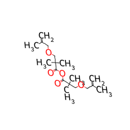 C=C(C)COCC(C)(C)C(=O)OC(=O)C(C)(C)COCC(=C)C